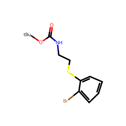 CC(C)(C)OC(=O)NCCSc1ccccc1Br